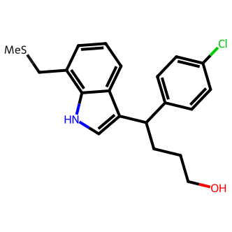 CSCc1cccc2c(C(CCCO)c3ccc(Cl)cc3)c[nH]c12